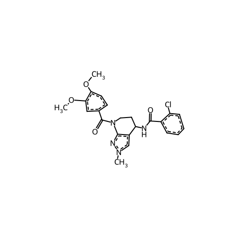 COc1ccc(C(=O)N2CCC(NC(=O)c3ccccc3Cl)c3cn(C)nc32)cc1OC